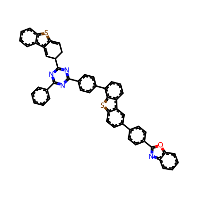 C1=c2sc3ccccc3c2=CC(c2nc(-c3ccccc3)nc(-c3ccc(-c4cccc5c4sc4ccc(-c6ccc(-c7nc8ccccc8o7)cc6)cc45)cc3)n2)C1